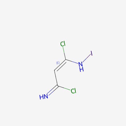 N=C(Cl)/C=C(/Cl)NI